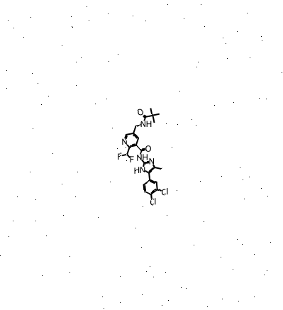 Cc1nc(NC(=O)c2cc(CNC(=O)C(C)(C)C)cnc2C(F)F)[nH]c1-c1ccc(Cl)c(Cl)c1